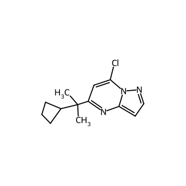 CC(C)(c1cc(Cl)n2nccc2n1)C1CCC1